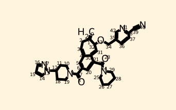 C=C1CC=c2cc(C(=O)N3CCC(n4cccn4)CC3)cc(C(=O)N3CCCCC3)c2=CC1OCc1ccc(C#N)nc1